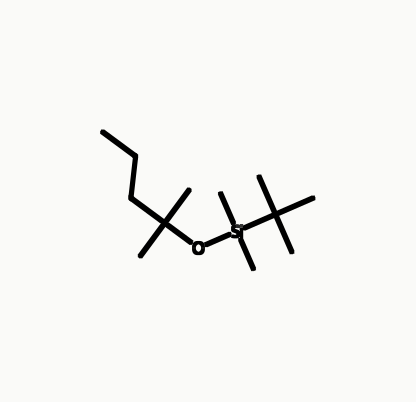 CCCC(C)(C)O[Si](C)(C)C(C)(C)C